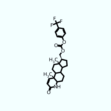 C[C@]12C=CC(=O)NC1CCC1C2CC[C@@]2(C)C1CC[C@@H]2COC(=O)Oc1ccc(C(F)(F)F)cc1